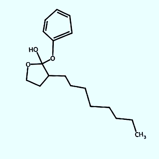 CCCCCCCCC1CCOC1(O)Oc1ccccc1